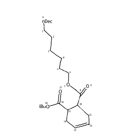 CCCCCCCCCCCCCCCCOC(=O)C1CC=CCC1C(=O)OCC(C)C